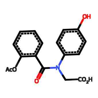 CC(=O)Oc1ccccc1C(=O)N(CC(=O)O)c1ccc(O)cc1